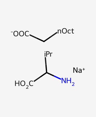 CC(C)C(N)C(=O)O.CCCCCCCCCC(=O)[O-].[Na+]